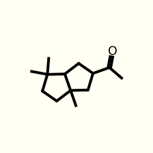 CC(=O)C1CC2C(C)(C)CCC2(C)C1